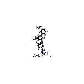 CC(=O)N[C@@H](C)/C=C/c1ccc(Oc2ccc(-c3cccc(C#N)c3)cc2Cl)nc1